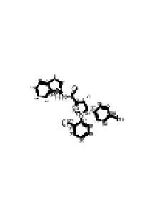 C[C@H]1C(C(=O)NN2CCc3ccccc32)=NN(c2ccccc2Cl)[C@H]1c1ccc(I)cc1